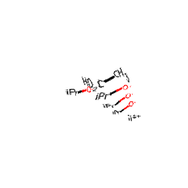 CC(=O)O.CC(C)[O-].CC(C)[O-].CC(C)[O-].CC(C)[O-].[Ti+4]